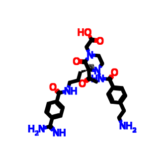 CC(=O)[C@@]1(CCCNC(=O)c2ccc(C(=N)N)cc2)C(=O)N(CC(=O)O)CCN1NC(=O)c1ccc(CCN)cc1